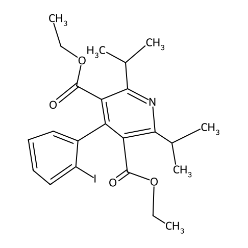 CCOC(=O)c1c(C(C)C)nc(C(C)C)c(C(=O)OCC)c1-c1ccccc1I